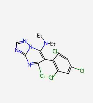 CCN(CC)c1c(-c2c(Cl)cc(Cl)cc2Cl)c(Cl)nc2ncnn12